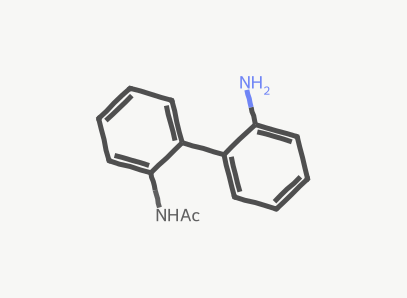 CC(=O)Nc1ccccc1-c1ccccc1N